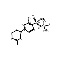 CN1CCCC(c2ccc(S(N)(=O)=N[Si](C)(C)C(C)(C)C)c(F)c2)C1